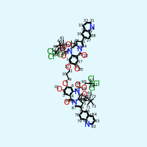 COc1cc2c(cc1OCCCOc1cc3c(cc1OC)C(=O)N1C=C(c4ccc5ncccc5c4)C[C@H]1[C@H](O[Si](C)(C)C(C)(C)C)N3C(=O)OCC(Cl)(Cl)Cl)N(C(=O)OCC(Cl)(Cl)Cl)[C@@H](O[Si](C)(C)C(C)(C)C)[C@@H]1CC(c3ccc4ncccc4c3)=CN1C2=O